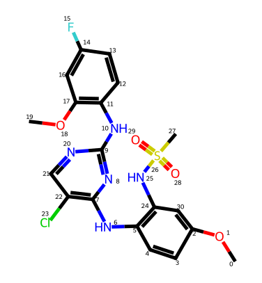 COc1ccc(Nc2nc(Nc3ccc(F)cc3OC)ncc2Cl)c(NS(C)(=O)=O)c1